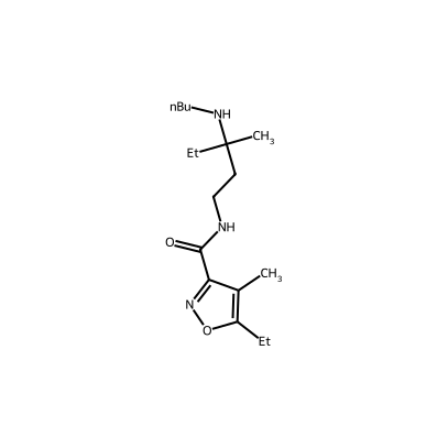 CCCCNC(C)(CC)CCNC(=O)c1noc(CC)c1C